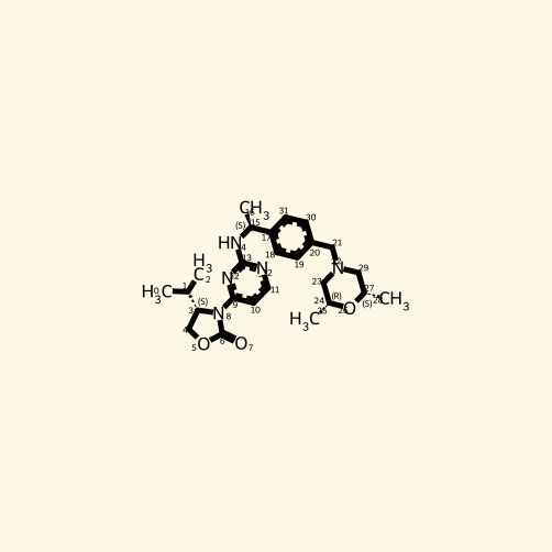 CC(C)[C@H]1COC(=O)N1c1ccnc(N[C@@H](C)c2ccc(CN3C[C@@H](C)O[C@@H](C)C3)cc2)n1